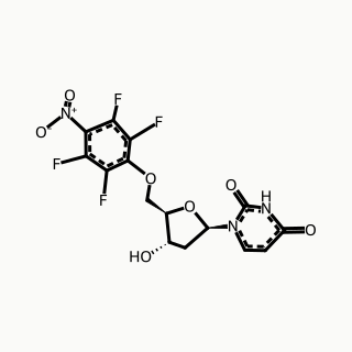 O=c1ccn([C@H]2C[C@H](O)[C@@H](COc3c(F)c(F)c([N+](=O)[O-])c(F)c3F)O2)c(=O)[nH]1